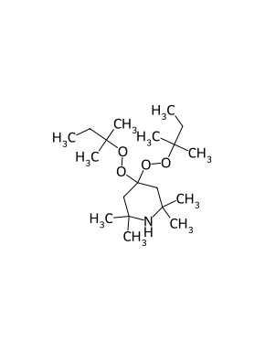 CCC(C)(C)OOC1(OOC(C)(C)CC)CC(C)(C)NC(C)(C)C1